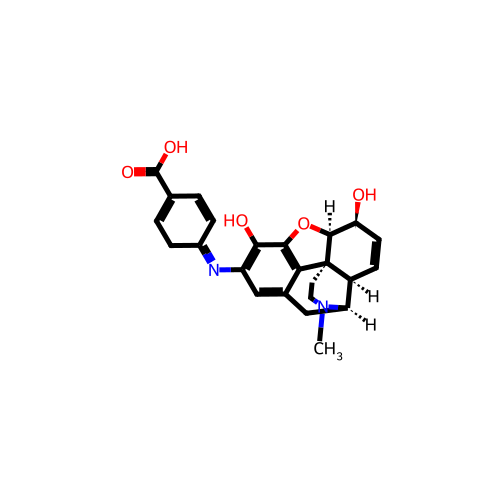 CN1CC[C@]23c4c5cc(N=C6C=CC(C(=O)O)=CC6)c(O)c4O[C@H]2[C@@H](O)C=C[C@H]3[C@H]1C5